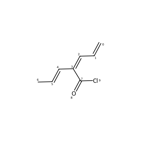 C=CC=C(C=CC)C(=O)Cl